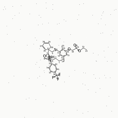 CCCCN1C2OC1(C1(CSc3cc(C)cc(OCC(=O)OCC)c3C)C=CC=CC1)NN2c1ccc(C(F)(F)F)cc1